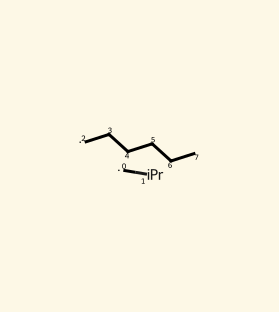 [CH2]C(C)C.[CH2]CCCCC